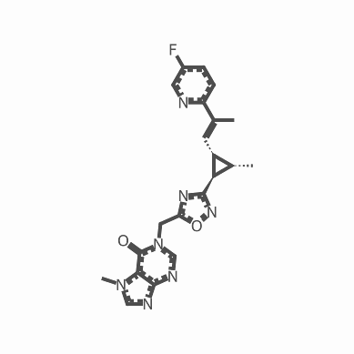 C/C(=C\[C@@H]1[C@H](C)[C@H]1c1noc(Cn2cnc3ncn(C)c3c2=O)n1)c1ccc(F)cn1